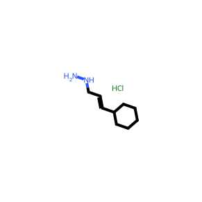 Cl.NNCC=CC1CCCCC1